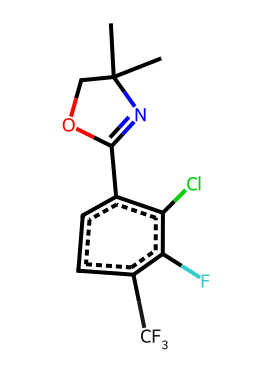 CC1(C)COC(c2ccc(C(F)(F)F)c(F)c2Cl)=N1